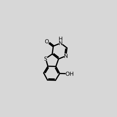 O=c1[nH]cnc2c1sc1cccc(O)c12